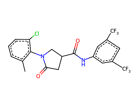 Cc1cccc(Cl)c1N1CC(C(=O)Nc2cc(C(F)(F)F)cc(C(F)(F)F)c2)CC1=O